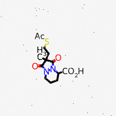 CC(=O)SCCC1(C)C(=O)N2CCCC(C(=O)O)N2C1=O